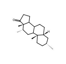 C[C@@H]1CC[C@]2(C)C3C[C@H](C)[C@]4(C)C(=O)CCC4C3CC[C@@H]2C1